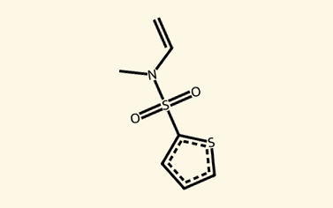 C=CN(C)S(=O)(=O)c1cccs1